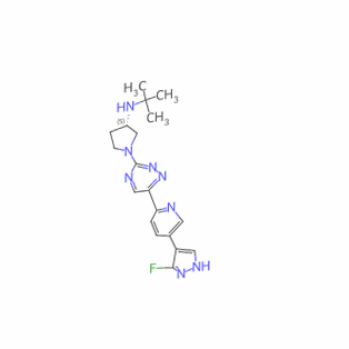 CC(C)(C)N[C@H]1CCN(c2ncc(-c3ccc(-c4c[nH]nc4F)cn3)nn2)C1